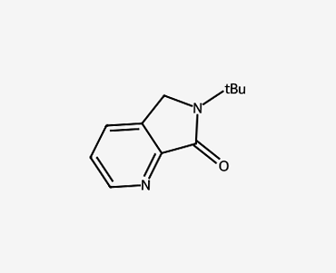 CC(C)(C)N1Cc2cccnc2C1=O